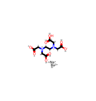 O=C([O-])CN(CCN(CC(=O)[O-])CC(=O)O)CC(=O)[O-].[Ba+2].[Na+]